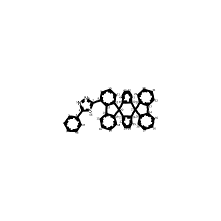 c1ccc(-c2nnc(-c3cccc4c3-c3ccccc3C43c4ccccc4C4(c5ccccc5-c5ccccc54)c4ccccc43)s2)cc1